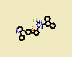 Clc1nc(-c2cc3ccccc3c3ccccc23)nc(-c2cccc3c2sc2cc(-c4cccnc4-c4ccccc4)ccc23)n1